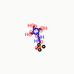 COC(=O)c1ccc(C(=O)NCCNC(=O)CN2CCN(CC(=O)O)CCN(CC(=O)O)CCN(CC(=O)O)CC2)cc1P(c1ccccc1)c1ccccc1